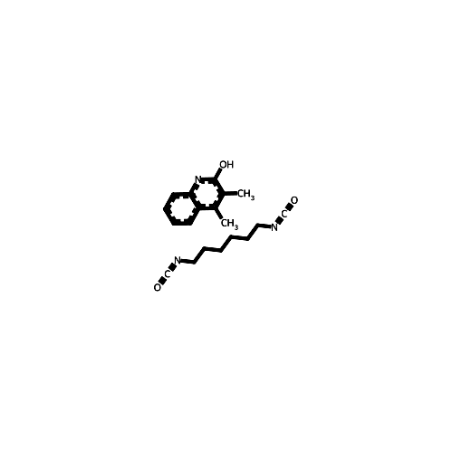 Cc1c(O)nc2ccccc2c1C.O=C=NCCCCCCN=C=O